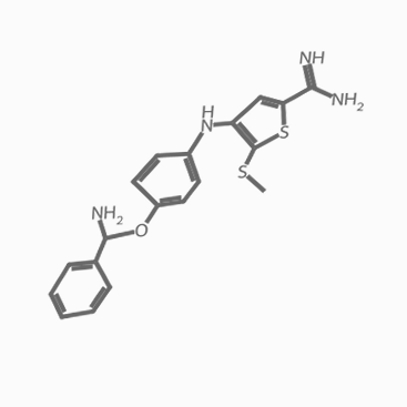 CSc1sc(C(=N)N)cc1Nc1ccc(OC(N)c2ccccc2)cc1